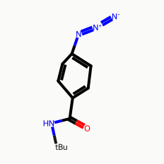 CC(C)(C)NC(=O)c1ccc(N=[N+]=[N-])cc1